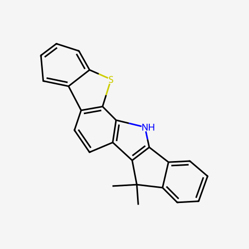 CC1(C)c2ccccc2-c2[nH]c3c(ccc4c5ccccc5sc43)c21